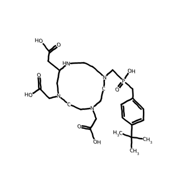 CC(C)(C)c1ccc(CP(=O)(O)CN2CCNC(CC(=O)O)CN(CC(=O)O)CCN(CC(=O)O)CC2)cc1